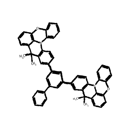 CC1(C)c2cc(-c3cc(-c4ccccc4)cc(-c4ccc5c(c4)C(C)(C)c4cccc6c4N5c4ccccc4O6)c3)ccc2N2c3ccccc3Oc3cccc1c32